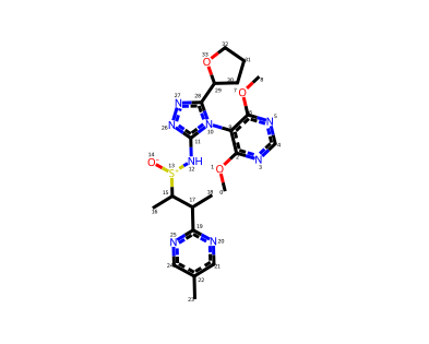 COc1ncnc(OC)c1-n1c(N[S+]([O-])C(C)C(C)c2ncc(C)cn2)nnc1C1CCCO1